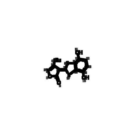 CC(C)(C)C1=NOC(=O)C1=C1Sc2c(O)ccc(O)c2S1